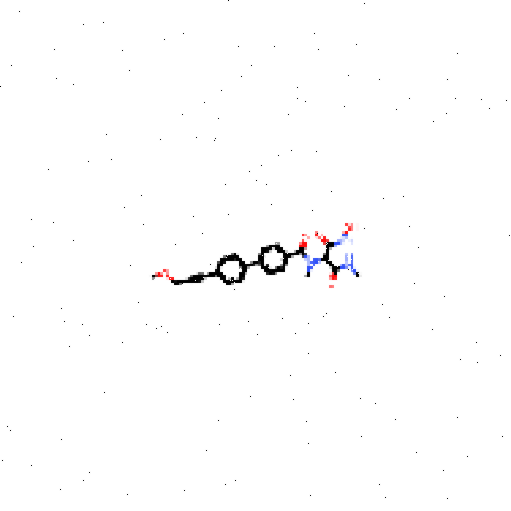 CNC(=O)C(C(=O)NO)N(C)C(=O)c1ccc(-c2ccc(C#CCOC)cc2)cc1